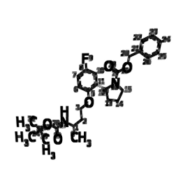 CC(CCOc1ccc(F)cc1[C@H]1CCCN1C(=O)OCc1ccccc1)NC(=O)OC(C)(C)C